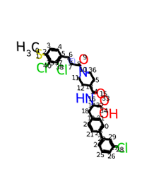 CSc1ccc(/C=C/C(=O)N2CCC(C(=O)NC(Cc3ccc(-c4cccc(Cl)c4)cc3)C(=O)O)CC2)c(Cl)c1Cl